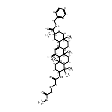 COC(=O)COCC(=O)NC1CCC2(C)C(CCC3(C)C4CCC5(C)CC[C@](C)(C(=O)OCc6ccccc6)CC5C4=CC(=O)C32)C1(C)C